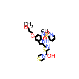 COCCCOc1cc(N(C)S(=O)(=O)c2ccccn2)c2[nH]c(C3=NCC(C(O)N4CCSCC4)S3)cc2c1